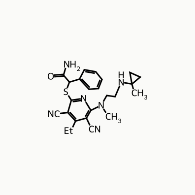 CCc1c(C#N)c(SC(C(N)=O)c2ccccc2)nc(N(C)CCNC2(C)CC2)c1C#N